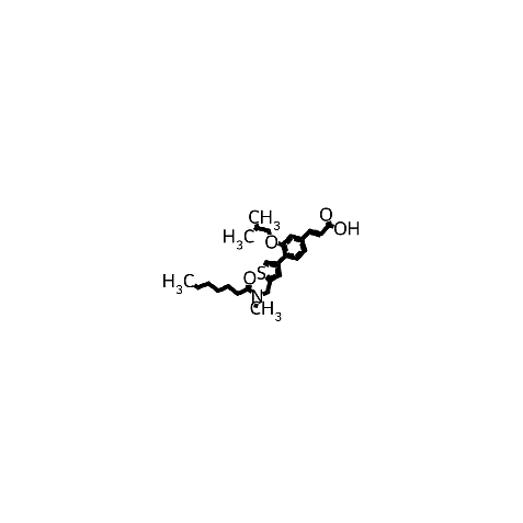 CCCCCCC(=O)N(C)Cc1cc(-c2ccc(C=CC(=O)O)cc2OCC(C)C)cs1